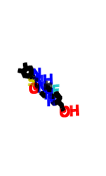 Cc1cc2nc(NC(=O)N3CCN(c4ncc(CCO)cc4F)C[C@H]3C)sc2cc1C